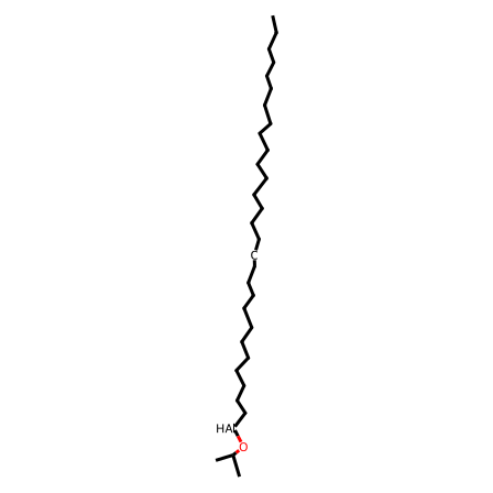 CCCCCCCCCCCCCCCCCCCCCCCCCCC[CH2][AlH][O]C(C)C